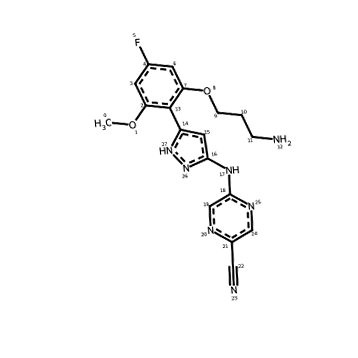 COc1cc(F)cc(OCCCN)c1-c1cc(Nc2cnc(C#N)cn2)n[nH]1